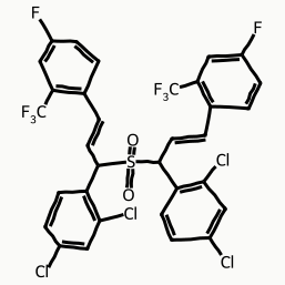 O=S(=O)(C(C=Cc1ccc(F)cc1C(F)(F)F)c1ccc(Cl)cc1Cl)C(C=Cc1ccc(F)cc1C(F)(F)F)c1ccc(Cl)cc1Cl